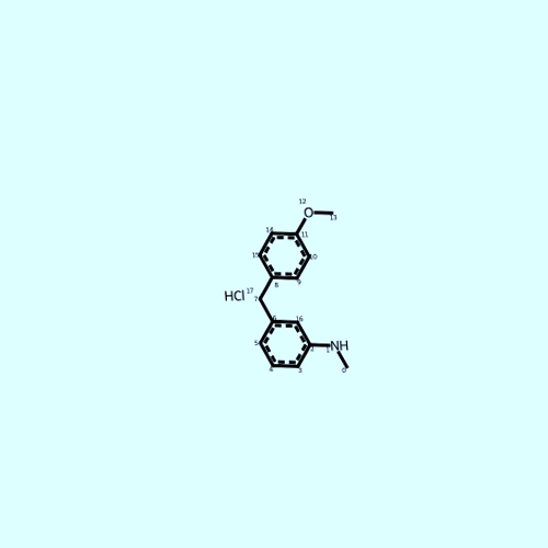 CNc1cccc(Cc2ccc(OC)cc2)c1.Cl